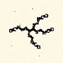 O=C=NCSC(SCN=C=O)C(SCN=C=O)SCN=C=O